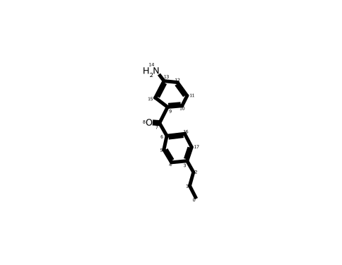 CCCc1ccc(C(=O)c2cccc(N)c2)cc1